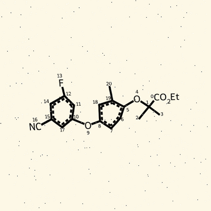 CCOC(=O)C(C)(C)Oc1ccc(Oc2cc(F)cc(C#N)c2)cc1C